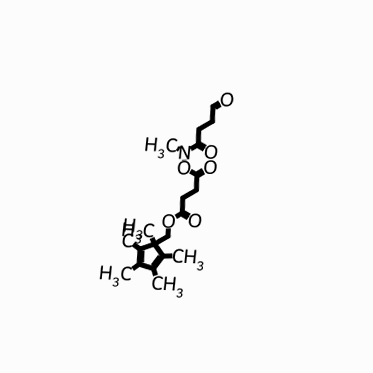 CC1=C(C)C(C)(COC(=O)CCC(=O)ON(C)C(=O)CCC=O)C(C)=C1C